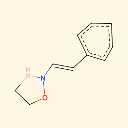 B1CCON1C=Cc1ccccc1